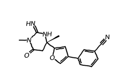 CN1C(=N)N[C@](C)(c2cc(-c3cccc(C#N)c3)co2)CC1=O